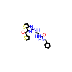 O=C(NCCNc1nc(C(=O)c2cccs2)c2sccc2n1)NCc1ccccc1